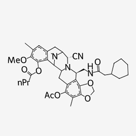 CCCC(=O)Oc1c(OC)c(C)cc2c1C1C3Cc4c(OC(C)=O)c(C)c5c(c4[C@H](CNC(=O)CC4CCCCC4)N3[C@@H](C#N)C(C2)N1C)OCO5